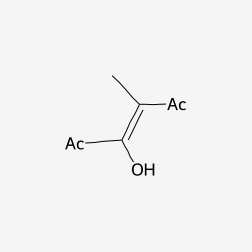 CC(=O)C(C)=C(O)C(C)=O